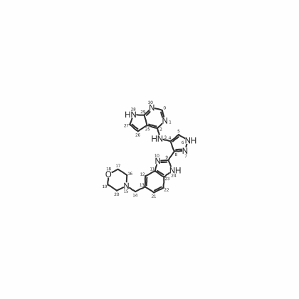 c1nc(Nc2c[nH]nc2-c2nc3cc(CN4CCOCC4)ccc3[nH]2)c2cc[nH]c2n1